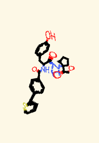 O=C(NC(Cc1ccc(O)cc1)C(=O)NC12CCCC1OCC2=O)c1ccc(-c2cccs2)cc1